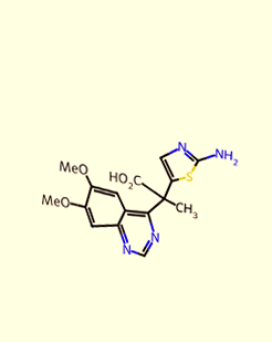 COc1cc2ncnc(C(C)(C(=O)O)c3cnc(N)s3)c2cc1OC